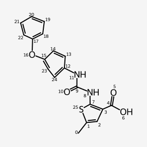 Cc1cc(C(=O)O)c(NC(=O)Nc2ccc(Oc3ccccc3)cc2)s1